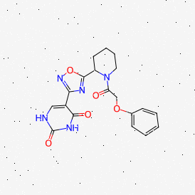 O=C(COc1ccccc1)N1CCCCC1c1nc(-c2c[nH]c(=O)[nH]c2=O)no1